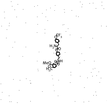 COC(=O)c1cc(S(=O)(=O)NCCc2ccc(OC(=O)[C@@H](N)Cc3ccc(OC(F)(F)F)cc3)cc2)ccc1C